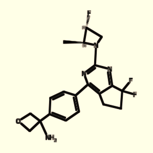 C[C@H]1[C@H](F)CN1c1nc(-c2ccc(C3(N)COC3)cc2)c2c(n1)C(F)(F)CC2